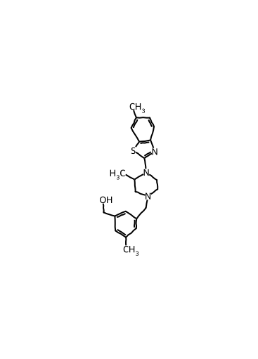 Cc1cc(CO)cc(CN2CCN(c3nc4ccc(C)cc4s3)C(C)C2)c1